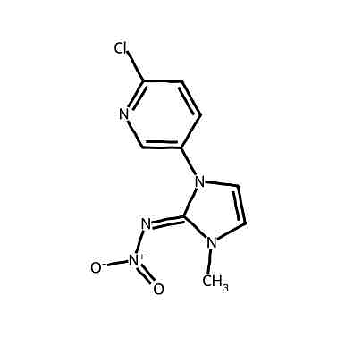 Cn1ccn(-c2ccc(Cl)nc2)c1=N[N+](=O)[O-]